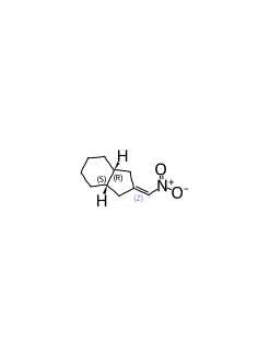 O=[N+]([O-])/C=C1\C[C@H]2CCCC[C@H]2C1